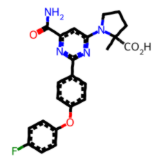 CC1(C(=O)O)CCCN1c1cc(C(N)=O)nc(-c2ccc(Oc3ccc(F)cc3)cc2)n1